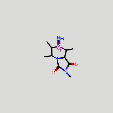 CC1C(C)[PH](=N)C(C)C2C(=O)N(C)C(=O)N12